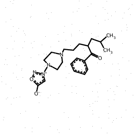 CC(C)CC(CCCN1CCN([n+]2cc([O-])on2)CC1)C(=O)c1ccccc1